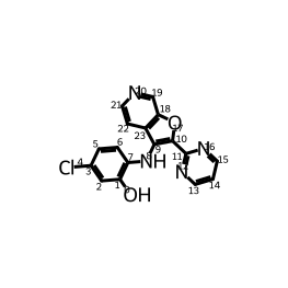 Oc1cc(Cl)ccc1Nc1c(-c2ncccn2)oc2cnccc12